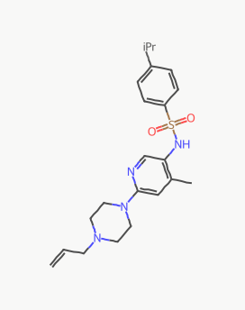 C=CCN1CCN(c2cc(C)c(NS(=O)(=O)c3ccc(C(C)C)cc3)cn2)CC1